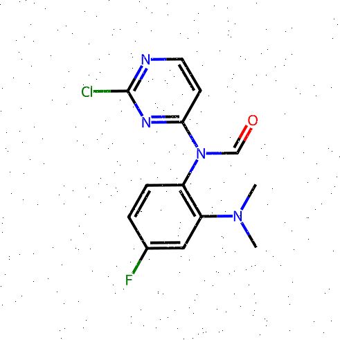 CN(C)c1cc(F)ccc1N(C=O)c1ccnc(Cl)n1